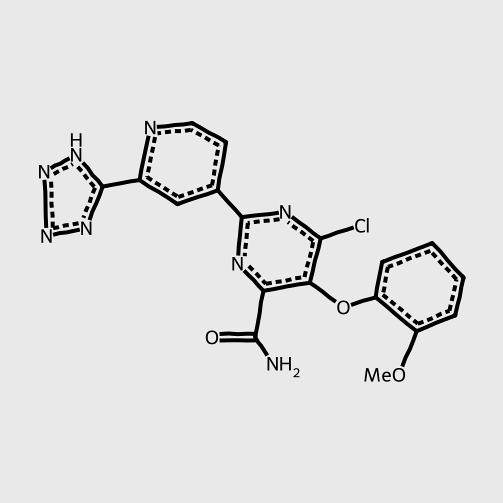 COc1ccccc1Oc1c(Cl)nc(-c2ccnc(-c3nnn[nH]3)c2)nc1C(N)=O